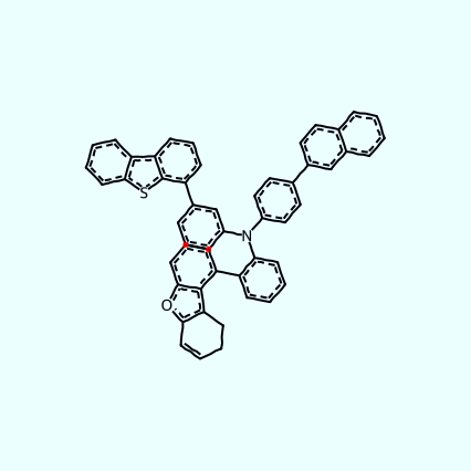 C1=Cc2oc3cccc(-c4ccccc4N(c4ccc(-c5ccc6ccccc6c5)cc4)c4cccc(-c5cccc6c5sc5ccccc56)c4)c3c2CC1